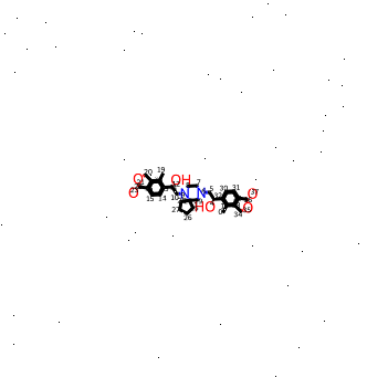 Cc1c([C@@H](O)CN2CCN(C[C@H](O)c3ccc4c(c3C)COC4=O)C3(CCCC3)C2)ccc2c1COC2=O